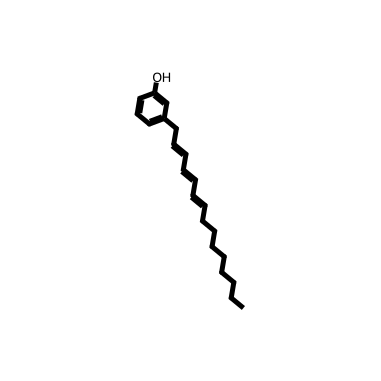 CCCCCCCC/C=C/C=C/C=C/Cc1cccc(O)c1